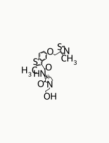 Cc1ncsc1COc1ccc2sc(C)c(C(=O)N[C@H]3CCN(CCO)C3=O)c2c1